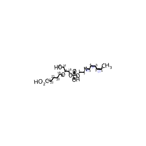 C\C=C/C=C\C=N\CCOP(=O)(O)OCC(CO)OCCCCC(=O)O